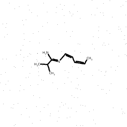 C\C=C/C=C\N=C(/N)C(C)C